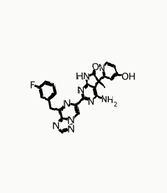 CC1(c2cc(O)ccn2)C(=O)Nc2nc(-c3cn4ncnc4c(Cc4cccc(F)c4)n3)nc(N)c21